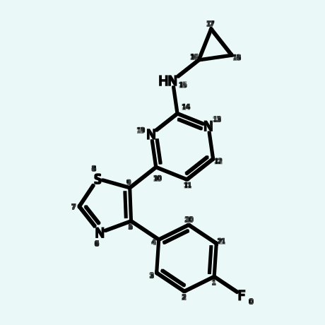 Fc1ccc(-c2ncsc2-c2ccnc(NC3CC3)n2)cc1